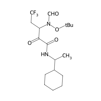 CC(NC(=O)C(=O)C(CC(F)(F)F)N(C=O)OC(C)(C)C)C1CCCCC1